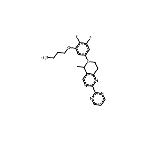 CC1c2cnc(-c3ncccn3)nc2CCN1c1cc(F)c(F)c(OCCCN)c1